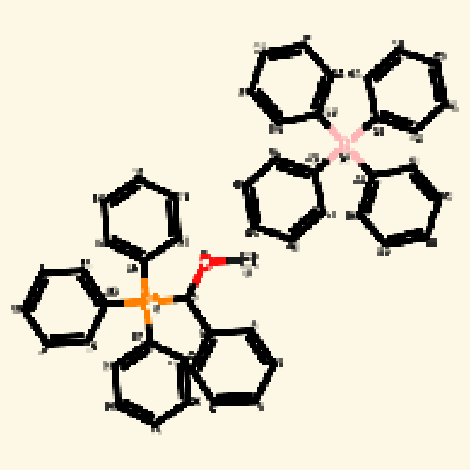 CCOC(c1ccccc1)[P+](c1ccccc1)(c1ccccc1)c1ccccc1.c1ccc([B-](c2ccccc2)(c2ccccc2)c2ccccc2)cc1